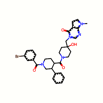 Cn1ccc2c(=O)n(CC3(O)CCN(C(=O)C4CCN(C(=O)c5cccc(Br)c5)CC4c4ccccc4)CC3)cnc21